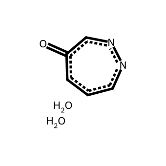 O.O.O=c1cccnnc1